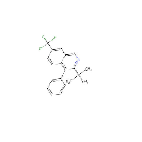 CC(C)(C)c1ncc2cc(C(F)(F)F)ccc2c1-c1ccccc1